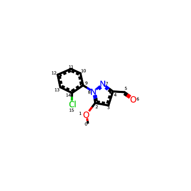 COc1cc(C=O)nn1-c1ccccc1Cl